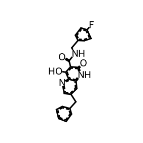 O=C(NCc1ccc(F)cc1)c1c(O)c2ncc(Cc3ccccc3)cc2[nH]c1=O